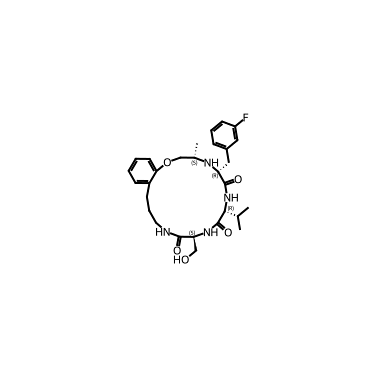 CC(C)[C@H]1NC(=O)[C@@H](Cc2cccc(F)c2)N[C@@H](C)COc2ccccc2CCCNC(=O)[C@H](CO)NC1=O